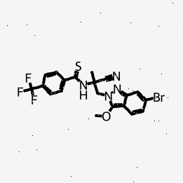 COc1c2ccc(Br)cc2nn1CC(C)(C#N)NC(=S)c1ccc(C(F)(F)F)cc1